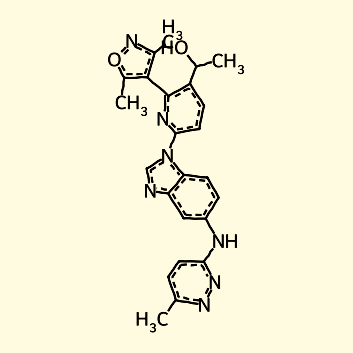 Cc1ccc(Nc2ccc3c(c2)ncn3-c2ccc(C(C)O)c(-c3c(C)noc3C)n2)nn1